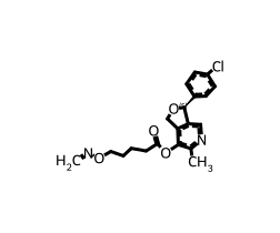 C=NOCCCCC(=O)Oc1c(C)ncc2c1CO[C@H]2c1ccc(Cl)cc1